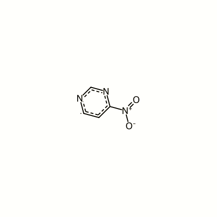 O=[N+]([O-])c1c[c]ncn1